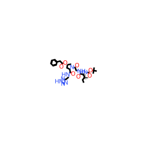 CC[C@H](C)[C@H](NC(=O)OC(C)(C)C)C(=O)NCC(=O)N1CC(OC(=O)Cc2ccccc2)CC1C(=O)NCc1nn[nH]n1